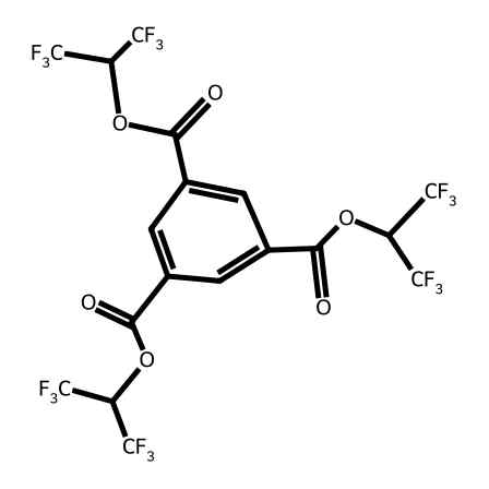 O=C(OC(C(F)(F)F)C(F)(F)F)c1cc(C(=O)OC(C(F)(F)F)C(F)(F)F)cc(C(=O)OC(C(F)(F)F)C(F)(F)F)c1